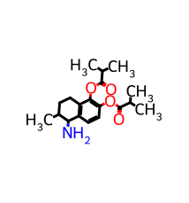 CC(C)C(=O)Oc1ccc2c(c1OC(=O)C(C)C)CCC(C)C2N